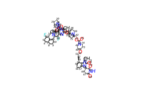 C#Cc1c(F)ccc2cccc(-c3ncc4c(N5CC6CCC(C5)N6C(=O)OC(C)(C)C)nc(OC[C@@]56CCCN5[C@H](COC(=O)N5CCC(OCC#Cc7cccc8c7n(C)c(=O)n8C7CCC(=O)NC7=O)CC5)CC6)nc4c3F)c12